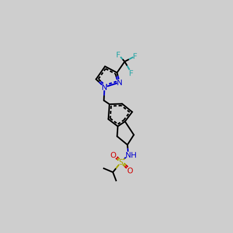 CC(C)S(=O)(=O)NC1Cc2ccc(Cn3ccc(C(F)(F)F)n3)cc2C1